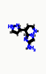 Nc1cn2nccc(-c3cc[nH]n3)c2n1